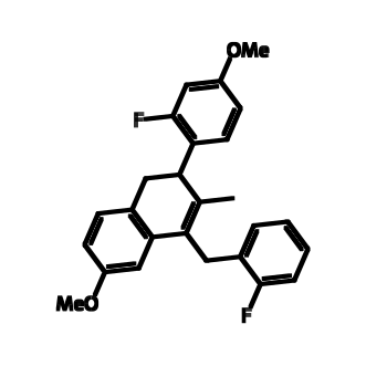 COc1ccc(C2Cc3ccc(OC)cc3C(Cc3ccccc3F)=C2C)c(F)c1